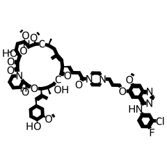 COc1cc2ncnc(Nc3ccc(F)c(Cl)c3)c2cc1OCCCN1CCN(C(=O)CCC[C@@H]2/C=C(\C)C[C@H](C)C[C@H](OC)[C@H]3O[C@@](O)(C(=O)C(=O)N4CCCC[C@H]4C(=O)O[C@H](/C(C)=C/[C@@H]4CC[C@@H](O)[C@H](OC)C4)[C@H](C)[C@@H](O)CC2=O)[C@H](C)C[C@@H]3OC)CC1